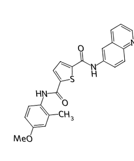 COc1ccc(NC(=O)c2ccc(C(=O)Nc3ccc4ncccc4c3)s2)c(C)c1